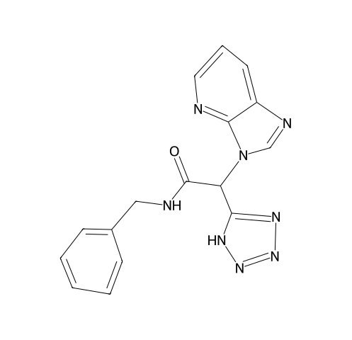 O=C(NCc1ccccc1)C(c1nnn[nH]1)n1cnc2cccnc21